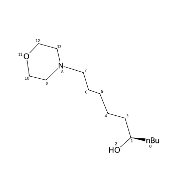 CCCC[C@@H](O)CCCCCN1CCOCC1